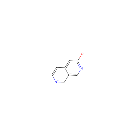 [O]c1cc2ccncc2cn1